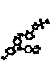 CC1(O)CCC(Nc2cc(Nc3ccnc(-c4cnn(S(=O)(=O)C5CC5)c4)n3)ncc2-c2cnc(C(F)(F)F)cn2)CC1